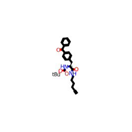 C#CCCCCNC(=O)[C@H](Cc1ccc(C(=O)c2ccccc2)cc1)NC(=O)OC(C)(C)C